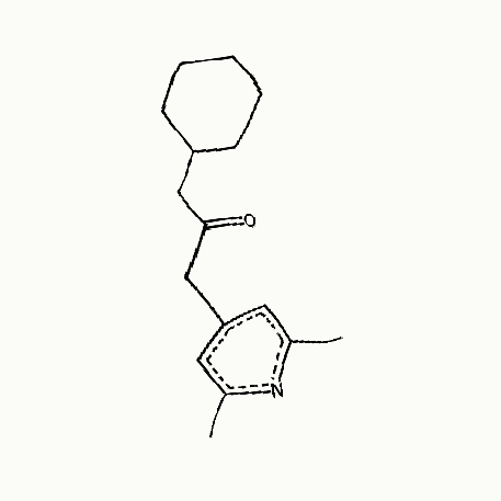 Cc1cc(CC(=O)CC2CCCCC2)cc(C)n1